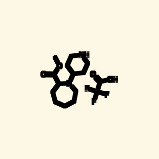 COC(=O)C1CCCCCN1C1CCNCC1.O=C(O)C(F)(F)F